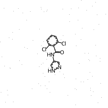 O=C(Nc1cn[nH]c1)c1c(Cl)cccc1Cl